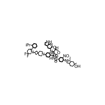 CC(C)c1ccccc1[C@@H]1CCC(F)(F)CN1C1CC2(CCN(c3ccc(C(=O)NS(=O)(=O)c4ccc(NCC5CCC(C)(O)CC5)c([N+](=O)[O-])c4)c(N4c5cc6cc[nH]c6nc5O[C@H]5COCC[C@@H]54)c3)CC2)C1